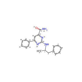 CC(Cc1ccccc1)Nc1nc(C(N)=O)cc(-c2ccccc2)n1